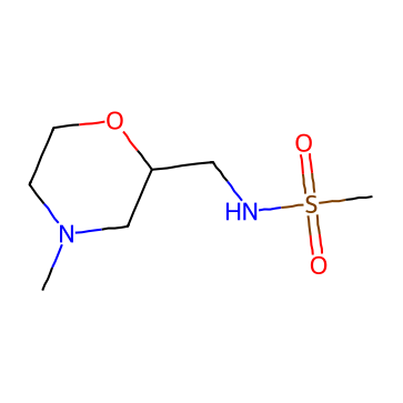 CN1CCOC(CNS(C)(=O)=O)C1